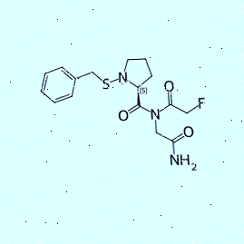 NC(=O)CN(C(=O)CF)C(=O)[C@@H]1CCCN1SCc1ccccc1